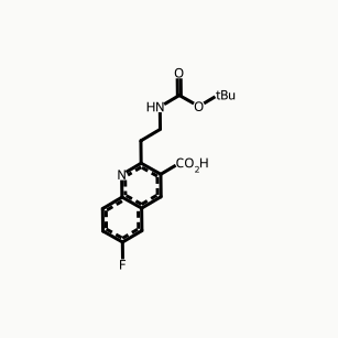 CC(C)(C)OC(=O)NCCc1nc2ccc(F)cc2cc1C(=O)O